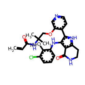 C=CC(=O)NC(C)(C)COc1cnccc1-c1[nH]c2c(c1Nc1cccc(Cl)c1OC)C(=O)NCC2